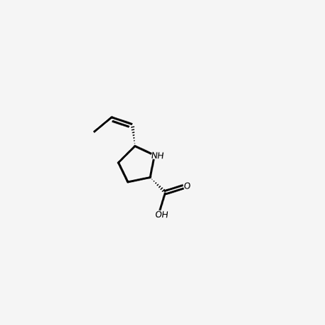 C/C=C\[C@H]1CC[C@@H](C(=O)O)N1